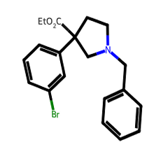 CCOC(=O)C1(c2cccc(Br)c2)CCN(Cc2ccccc2)C1